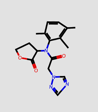 Cc1ccc(C)c(N(C(=O)Cn2cncn2)C2CCOC2=O)c1C